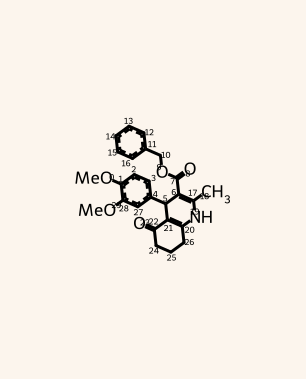 COc1ccc(C2C(C(=O)OCc3ccccc3)=C(C)NC3=C2C(=O)CCC3)cc1OC